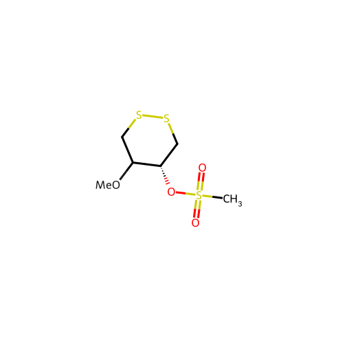 COC1CSSC[C@@H]1OS(C)(=O)=O